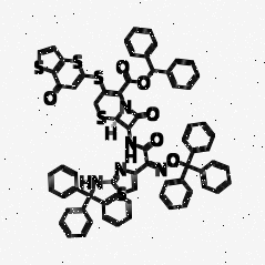 O=C(OC(c1ccccc1)c1ccccc1)C1=C(Sc2cc(=O)c3sccc3s2)CS[C@@H]2C(NC(=O)/C(=N\OC(c3ccccc3)(c3ccccc3)c3ccccc3)c3csc(NC(c4ccccc4)(c4ccccc4)c4ccccc4)n3)C(=O)N12